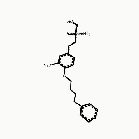 COc1cc(CC[C@](N)(I)CO)ccc1OCCCCc1ccccc1